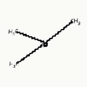 CCCCCCCCCCCCCCCCCCCc1ccc[n+](CCCCCCCCCCCCCCCCCC)c1CCCCCCCCCCCCCCCCCCC